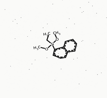 CC[Si](OC)(OC)c1cccc2ccccc12